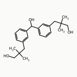 CC(C)(CO)Cc1cccc(C(O)c2cccc(CC(C)(C)CO)c2)c1